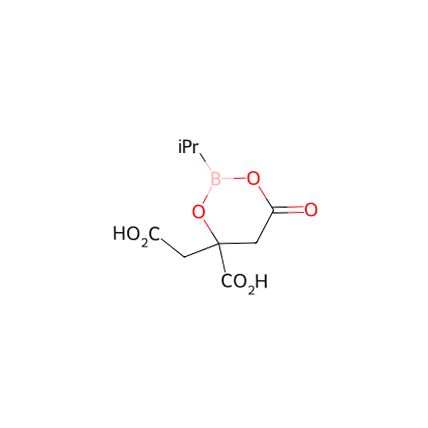 CC(C)B1OC(=O)CC(CC(=O)O)(C(=O)O)O1